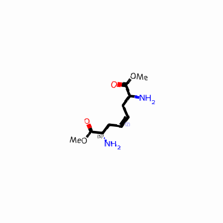 COC(=O)C(N)C/C=C\C[C@H](N)C(=O)OC